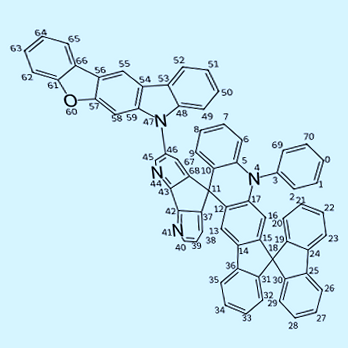 c1ccc(N2c3ccccc3C3(c4cc5c(cc42)C2(c4ccccc4-c4ccccc42)c2ccccc2-5)c2cccnc2-c2ncc(-n4c5ccccc5c5cc6c(cc54)oc4ccccc46)cc23)cc1